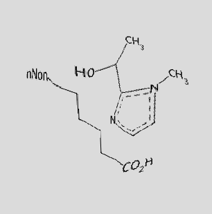 CC(O)c1nccn1C.CCCCCCCCCCCCCC(=O)O